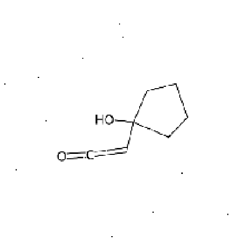 O=C=CC1(O)CCCC1